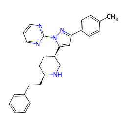 Cc1ccc(-c2cc([C@@H]3CC[C@H](CCc4ccccc4)NC3)n(-c3ncccn3)n2)cc1